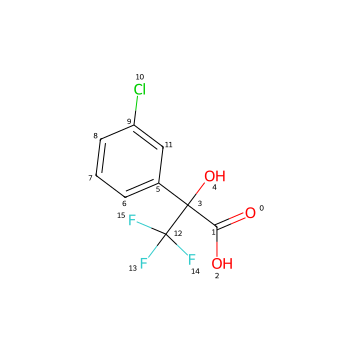 O=C(O)C(O)(c1cccc(Cl)c1)C(F)(F)F